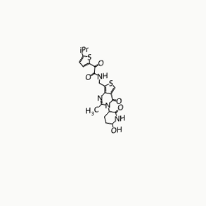 Cc1nc2c(CNC(=O)C(=O)c3ccc(C(C)C)s3)scc2c(=O)n1C1CCC(O)NC1=O